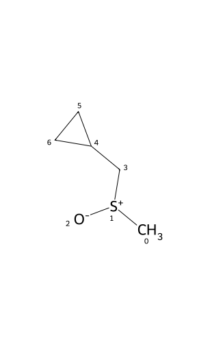 C[S+]([O-])CC1CC1